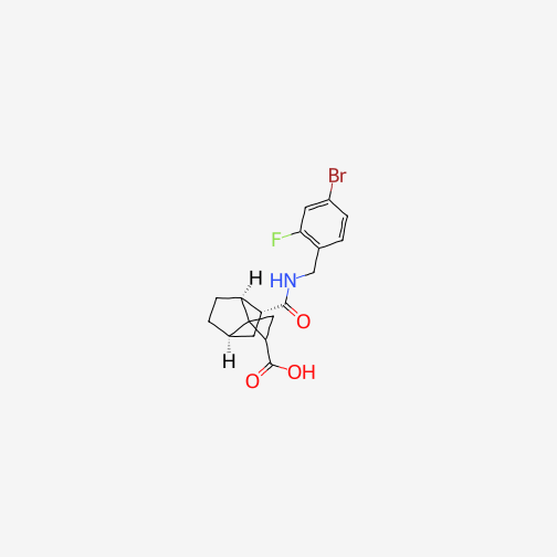 O=C(O)C1CC12[C@@H]1CC[C@H]2[C@H](C(=O)NCc2ccc(Br)cc2F)C1